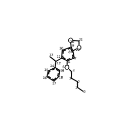 CCCCCOc1cc2c(cc1C(C)c1ccccc1)OCO2